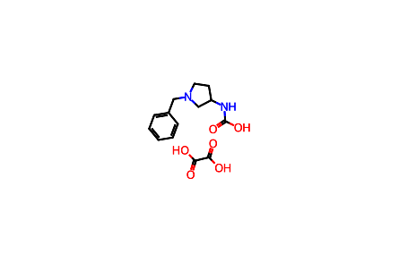 O=C(O)C(=O)O.O=C(O)NC1CCN(Cc2ccccc2)C1